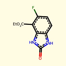 CCOC(=O)c1c(F)ccc2[nH]c(=O)[nH]c12